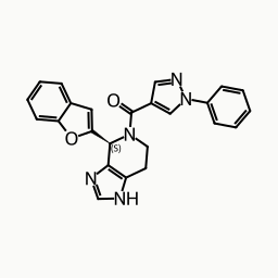 O=C(c1cnn(-c2ccccc2)c1)N1CCc2[nH]cnc2[C@H]1c1cc2ccccc2o1